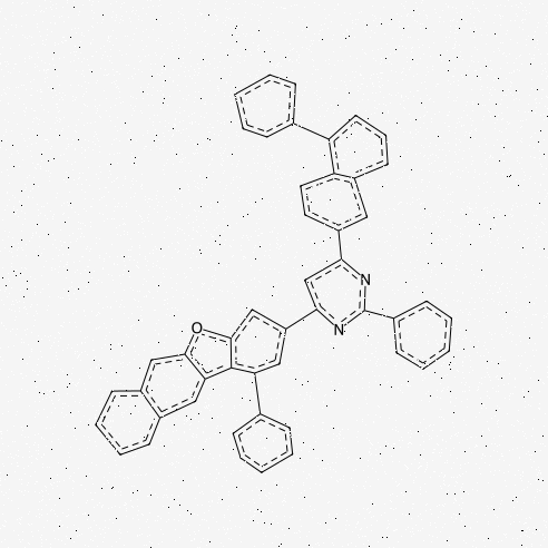 c1ccc(-c2nc(-c3ccc4c(-c5ccccc5)cccc4c3)cc(-c3cc(-c4ccccc4)c4c(c3)oc3cc5ccccc5cc34)n2)cc1